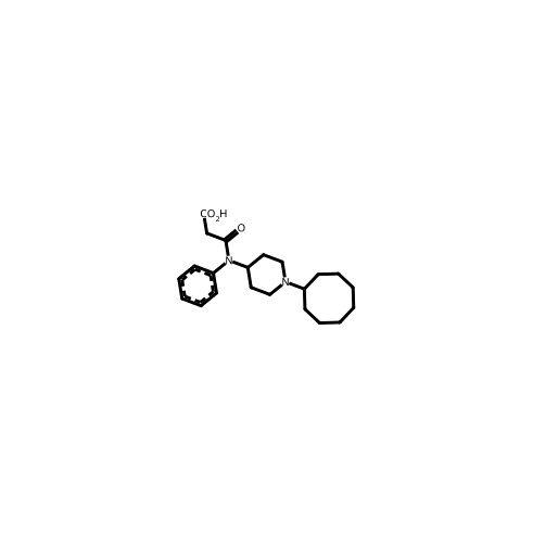 O=C(O)CC(=O)N(c1ccccc1)C1CCN(C2CCCCCCC2)CC1